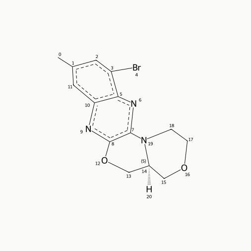 Cc1cc(Br)c2nc3c(nc2c1)OC[C@@H]1COCCN31